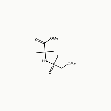 COCP(=O)(I)NC(C)(C)C(=O)OC